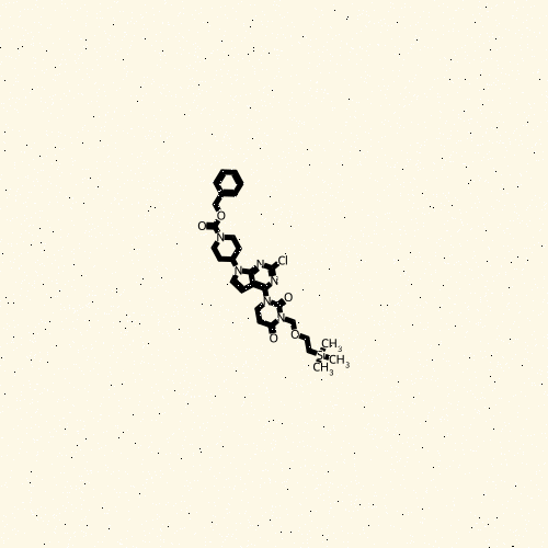 C[Si](C)(C)CCOCN1C(=O)CCN(c2nc(Cl)nc3c2ccn3C2CCN(C(=O)OCc3ccccc3)CC2)C1=O